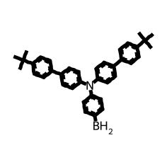 Bc1ccc(N(c2ccc(-c3ccc(C(C)(C)C)cc3)cc2)c2ccc(-c3ccc(C(C)(C)C)cc3)cc2)cc1